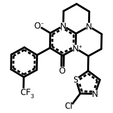 O=c1c(-c2cccc(C(F)(F)F)c2)c([O-])n2c3[n+]1C(c1cnc(Cl)s1)CCN3CCC2